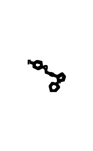 Fc1ccc(OCC#Cc2cccn2C2CCCCC2)cc1